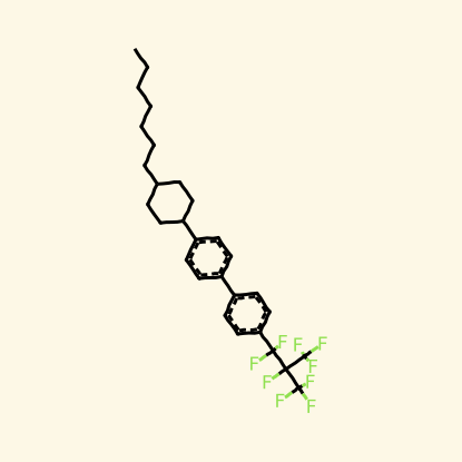 CCCCCCCC1CCC(c2ccc(-c3ccc(C(F)(F)C(F)(C(F)(F)F)C(F)(F)F)cc3)cc2)CC1